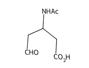 CC(=O)NC(CC=O)CC(=O)O